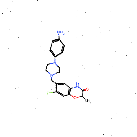 CC1Oc2cc(F)c(CN3CCN(c4ccc(N)cc4)CC3)cc2NC1=O